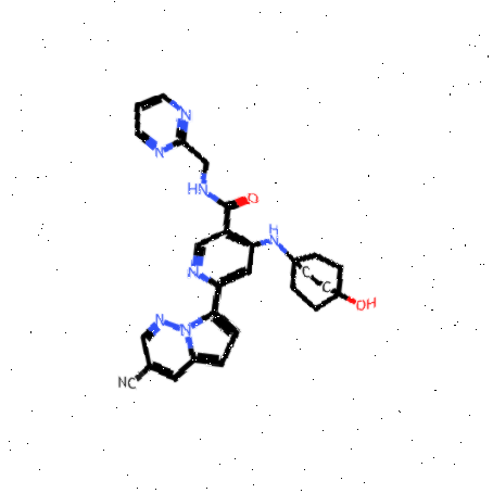 N#Cc1cnn2c(-c3cc(NC45CCC(O)(CC4)CC5)c(C(=O)NCc4ncccn4)cn3)ccc2c1